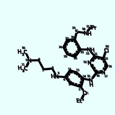 CCOc1cc(NCCCN(C)C)ccc1Nc1ncc(Cl)c(Nc2ccccc2SNC(C)C)n1